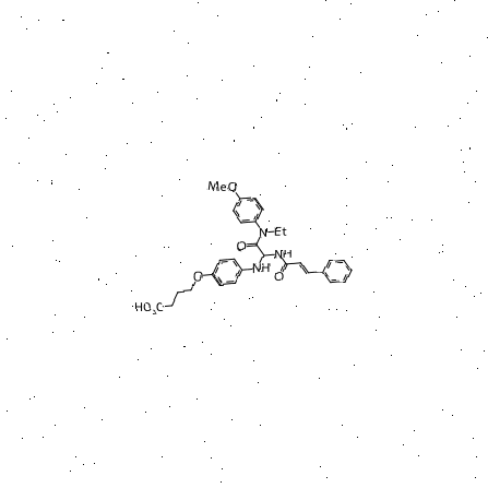 CCN(C(=O)C(NC(=O)C=Cc1ccccc1)Nc1ccc(OCCCC(=O)O)cc1)c1ccc(OC)cc1